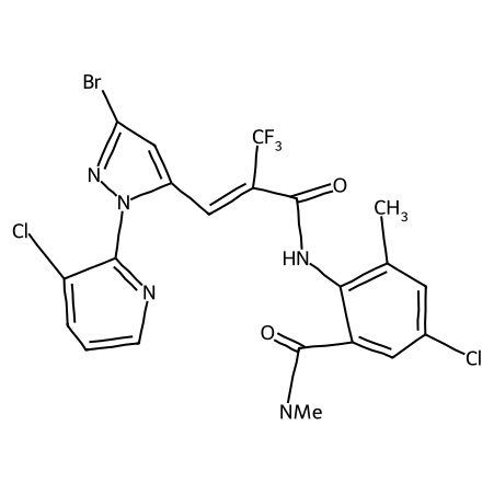 CNC(=O)c1cc(Cl)cc(C)c1NC(=O)C(=Cc1cc(Br)nn1-c1ncccc1Cl)C(F)(F)F